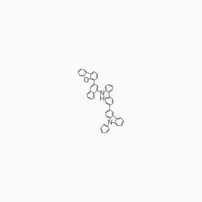 c1ccc(-n2c3ccccc3c3cc(-c4ccc(-c5ccccc5Nc5cc(-c6cccc7c6oc6ccccc67)cc6ccccc56)cc4)ccc32)cc1